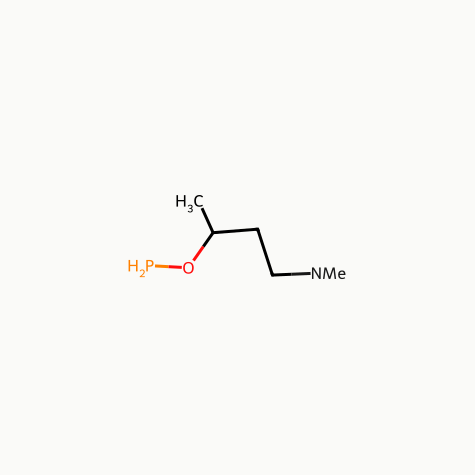 CNCCC(C)OP